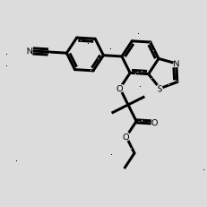 CCOC(=O)C(C)(C)Oc1c(-c2ccc(C#N)cc2)ccc2ncsc12